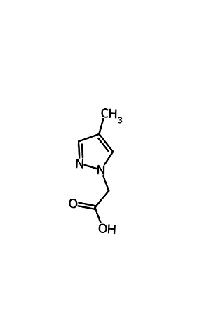 Cc1cnn(CC(=O)O)c1